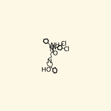 O=C(CCCN1CCC(O)(c2ccccc2)CC1)N1C=C(c2ccccc2)NN1c1ccc(Cl)c(Cl)c1